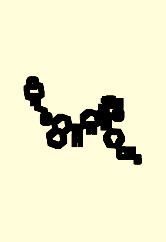 Cc1ccc(-n2c(=O)n(C(C)(C)C)c3ccc(Nc4ccc(OCCN5CCOCC5)c5ccccc45)nc32)cc1